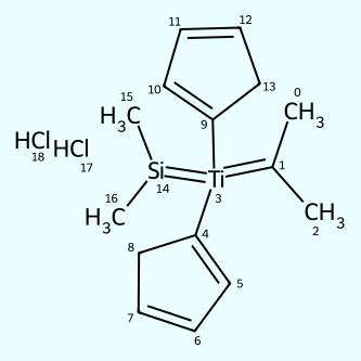 C[C](C)=[Ti]([C]1=CC=CC1)([C]1=CC=CC1)=[Si](C)C.Cl.Cl